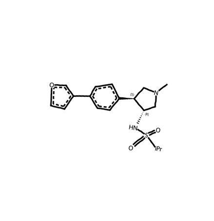 CC(C)S(=O)(=O)N[C@H]1CN(C)C[C@@H]1c1ccc(-c2ccoc2)cc1